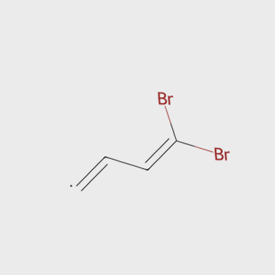 [CH]=CC=C(Br)Br